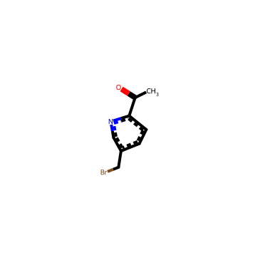 CC(=O)c1ccc(CBr)cn1